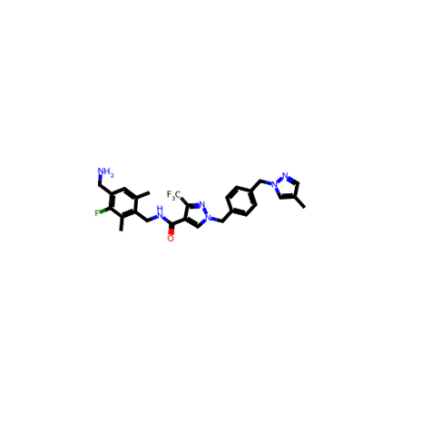 Cc1cnn(Cc2ccc(Cn3cc(C(=O)NCc4c(C)cc(CN)c(F)c4C)c(C(F)(F)F)n3)cc2)c1